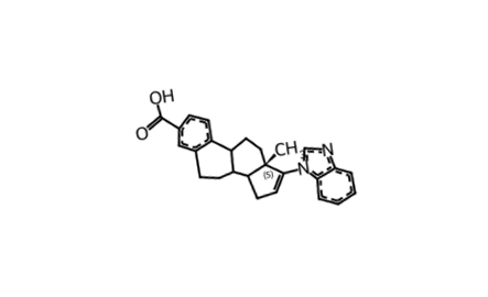 C[C@]12CCC3c4ccc(C(=O)O)cc4CCC3C1CC=C2n1cnc2ccccc21